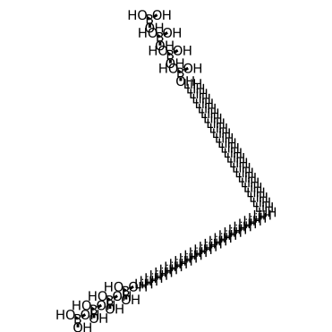 OB(O)O.OB(O)O.OB(O)O.OB(O)O.OB(O)O.OB(O)O.OB(O)O.OB(O)O.[LiH].[LiH].[LiH].[LiH].[LiH].[LiH].[LiH].[LiH].[LiH].[LiH].[LiH].[LiH].[LiH].[LiH].[LiH].[LiH].[LiH].[LiH].[LiH].[LiH].[LiH].[LiH].[LiH].[LiH].[LiH].[LiH].[LiH].[LiH].[LiH].[LiH].[LiH].[LiH].[LiH].[LiH].[LiH].[LiH].[LiH].[LiH].[LiH].[LiH].[LiH].[LiH].[LiH].[LiH].[LiH].[LiH].[LiH].[LiH].[LiH].[LiH].[LiH].[LiH]